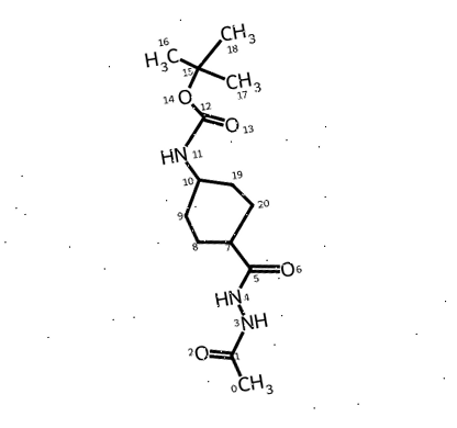 CC(=O)NNC(=O)C1CCC(NC(=O)OC(C)(C)C)CC1